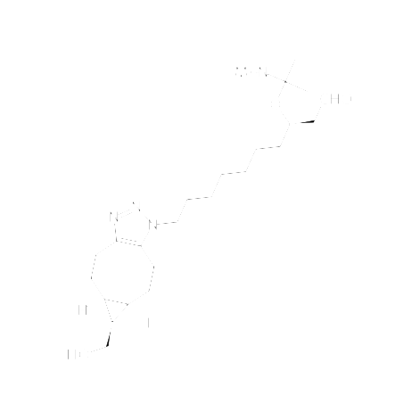 CNC(C)(C)O[C@@H](CC=O)CCCCCCCn1nnc2c1CC[C@H]1[C@@H](CO)[C@H]1CC2